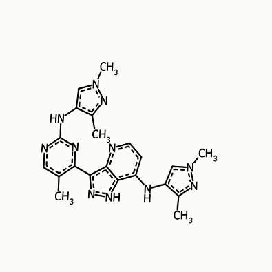 Cc1cnc(Nc2cn(C)nc2C)nc1-c1n[nH]c2c(Nc3cn(C)nc3C)ccnc12